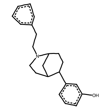 Oc1cccc(C2CCC3CC2CCN3CCc2ccccc2)c1